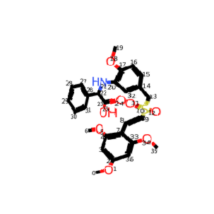 COc1cc(OC)c(/C=C/S(=O)(=O)Cc2ccc(OC)c(NC(C(=O)O)c3ccccc3)c2)c(OC)c1